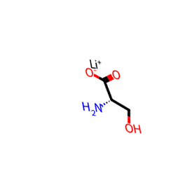 N[C@@H](CO)C(=O)[O-].[Li+]